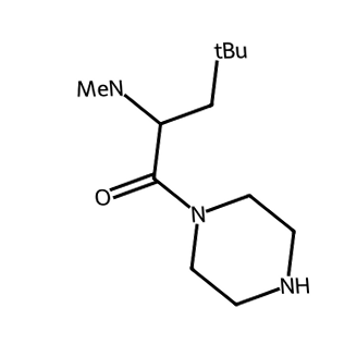 CNC(CC(C)(C)C)C(=O)N1CCNCC1